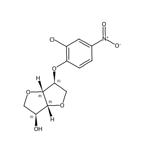 O=[N+]([O-])c1ccc(O[C@H]2CO[C@H]3[C@@H]2OC[C@@H]3O)c(Cl)c1